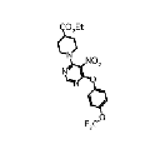 CCOC(=O)C1CCN(c2ncnc(Oc3ccc(OC(F)(F)F)cc3)c2[N+](=O)[O-])CC1